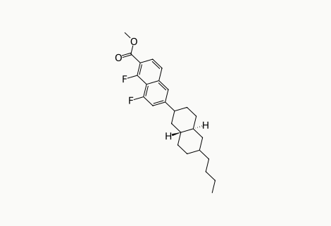 CCCCC1CC[C@@H]2CC(c3cc(F)c4c(F)c(C(=O)OC)ccc4c3)CC[C@H]2C1